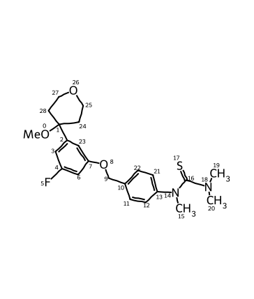 COC1(c2cc(F)cc(OCc3ccc(N(C)C(=S)N(C)C)cc3)c2)CCOCC1